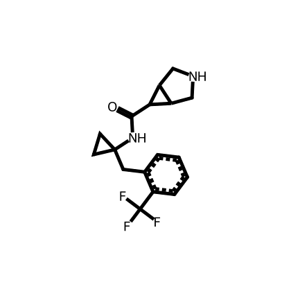 O=C(NC1(Cc2ccccc2C(F)(F)F)CC1)C1C2CNCC21